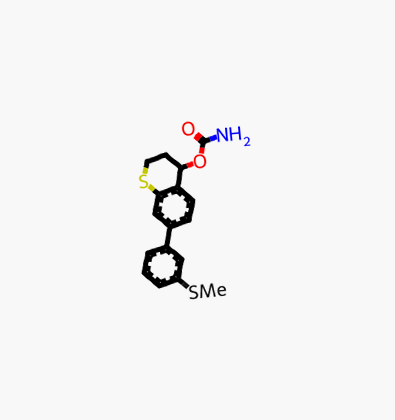 CSc1cccc(-c2ccc3c(c2)SCCC3OC(N)=O)c1